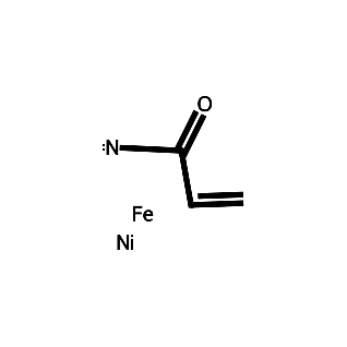 C=CC([N])=O.[Fe].[Ni]